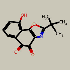 CC(C)(C)c1nc2c(o1)-c1c(O)cccc1C(=O)C2=O